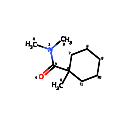 CN(C)C(=O)C1(C)CCCCC1